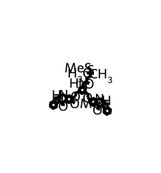 COc1cc2c(cc1OCc1cc(COc3ccc4c(c3)N=C[C@@H]3Cc5ccccc5N3C4=O)cc(NC(=O)CCC(C)(C)SSC)c1)N=C[C@@H]1Cc3ccccc3N1C2=O